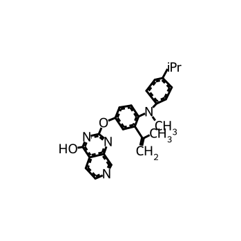 C=C(C)c1cc(Oc2nc(O)c3ccncc3n2)ccc1N(C)c1ccc(C(C)C)cc1